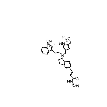 CCc1cc(CN(CCc2cn(C)c3ccccc23)C2CCc3cc(/C=C/C(=O)NO)ccc32)c[nH]1